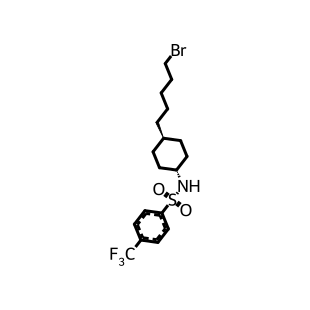 O=S(=O)(N[C@H]1CC[C@H](CCCCCBr)CC1)c1ccc(C(F)(F)F)cc1